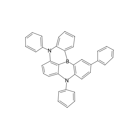 c1ccc(-c2ccc3c(c2)B2c4ccccc4N(c4ccccc4)c4cccc(c42)N3c2ccccc2)cc1